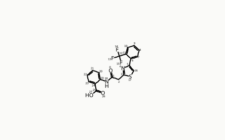 O=C(Cc1nc(-c2ccccc2C(F)(F)F)cs1)Nc1ccccc1C(=O)O